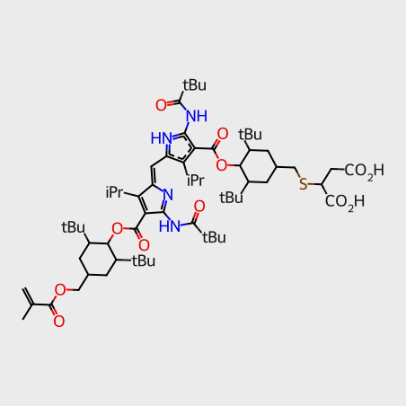 C=C(C)C(=O)OCC1CC(C(C)(C)C)C(OC(=O)C2=C(C(C)C)/C(=C/c3[nH]c(NC(=O)C(C)(C)C)c(C(=O)OC4C(C(C)(C)C)CC(CSC(CC(=O)O)C(=O)O)CC4C(C)(C)C)c3C(C)C)N=C2NC(=O)C(C)(C)C)C(C(C)(C)C)C1